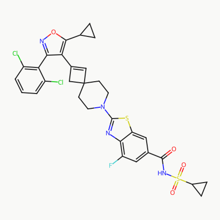 O=C(NS(=O)(=O)C1CC1)c1cc(F)c2nc(N3CCC4(C=C(c5c(-c6c(Cl)cccc6Cl)noc5C5CC5)C4)CC3)sc2c1